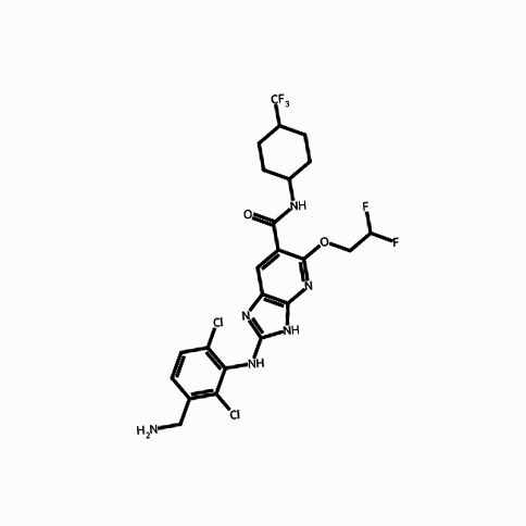 NCc1ccc(Cl)c(Nc2nc3cc(C(=O)NC4CCC(C(F)(F)F)CC4)c(OCC(F)F)nc3[nH]2)c1Cl